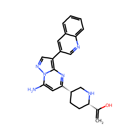 C=C(O)[C@@H]1CC[C@H](c2cc(N)n3ncc(-c4cnc5ccccc5c4)c3n2)CN1